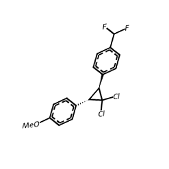 COc1ccc([C@@H]2[C@@H](c3ccc(C(F)F)cc3)C2(Cl)Cl)cc1